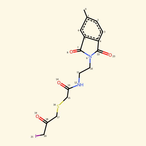 Cc1ccc2c(c1)C(=O)N(CCNC(=O)CSCC(=O)CI)C2=O